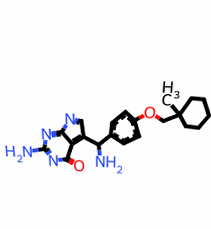 CC1(COc2ccc(C(N)C3=C4C(=O)N=C(N)N=C4N=C3)cc2)CCCCC1